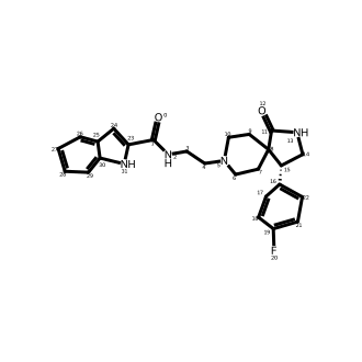 O=C(NCCN1CCC2(CC1)C(=O)NC[C@@H]2c1ccc(F)cc1)c1cc2ccccc2[nH]1